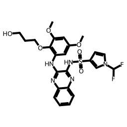 COc1cc(Nc2nc3ccccc3nc2NS(=O)(=O)c2ccn(C(F)F)c2)c(OCCCO)c(OC)c1